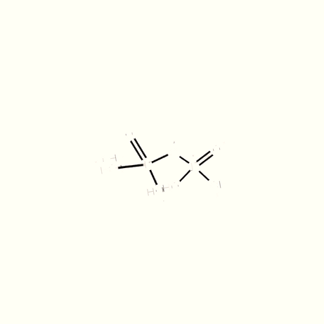 O=P(O)(O)OP(=O)(O)O.[CH3]